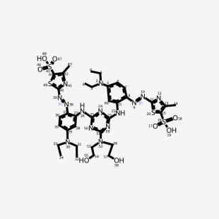 CCN(CC)c1ccc(/N=N/c2nc(C)c(S(=O)(=O)O)s2)c(Nc2nc(Nc3cc(N(CC)CC)ccc3/N=N/c3nc(C)c(S(=O)(=O)O)s3)nc(N(CCO)CCO)n2)c1